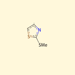 CSc1n[c]cs1